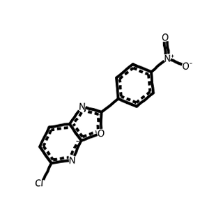 O=[N+]([O-])c1ccc(-c2nc3ccc(Cl)nc3o2)cc1